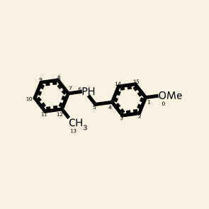 COc1ccc(CPc2ccccc2C)cc1